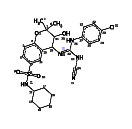 CC1(C)Oc2ccc(S(=O)(=O)NC3CCCCC3)cc2C(/N=C(/NC#N)Nc2ccc(Cl)cc2)C1O